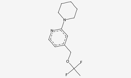 CC(F)(F)OCc1ccnc(N2CCCCC2)c1